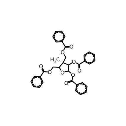 C[C@@]1(COC(=O)c2ccccc2)C(COC(=O)c2ccccc2)OC(OC(=O)c2ccccc2)C1OC(=O)c1ccccc1